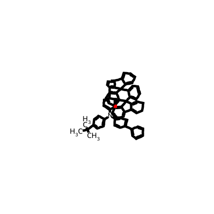 CC(C)(C)c1ccc(N(c2ccc(-c3ccccc3)cc2)c2ccc(-c3cccc4c3C3(c5ccccc5-4)c4ccccc4C4(C5=CCCC=C5c5ccccc54)c4ccccc43)cc2)cc1